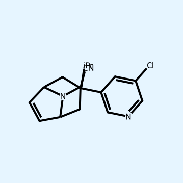 CC(C)CN1C2C=CC1CC(C#N)(c1cncc(Cl)c1)C2